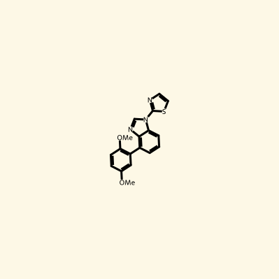 COc1ccc(OC)c(-c2cccc3c2ncn3-c2nccs2)c1